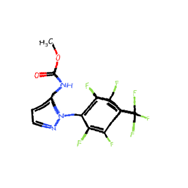 COC(=O)Nc1ccnn1-c1c(F)c(F)c(C(F)(F)F)c(F)c1F